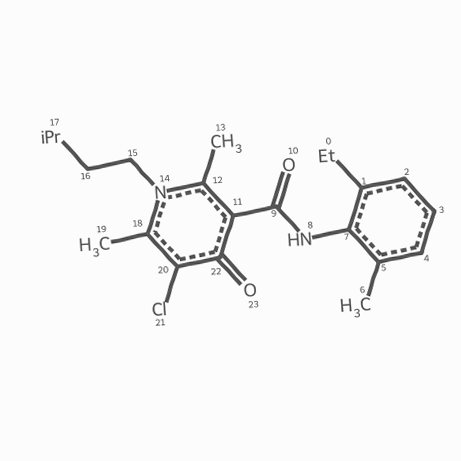 CCc1cccc(C)c1NC(=O)c1c(C)n(CCC(C)C)c(C)c(Cl)c1=O